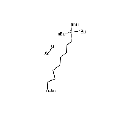 CC(=O)[O-].CCCCCCCCCCCCCCCCCC[P+](CCCC)(CCCC)CCCC